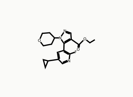 CCOC(=O)c1cnn(C2CCOCC2)c1-c1cc(C2CC2)cnc1F